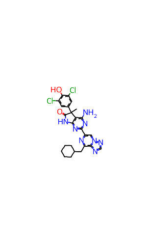 CC1(c2cc(Cl)c(O)c(Cl)c2)C(=O)Nc2nc(-c3cn4ncnc4c(CC4CCCCC4)n3)nc(N)c21